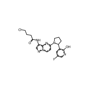 O=C(CCCCl)Nc1cnn2ccc(N3CCCC3c3cc(F)cnc3O)nc12